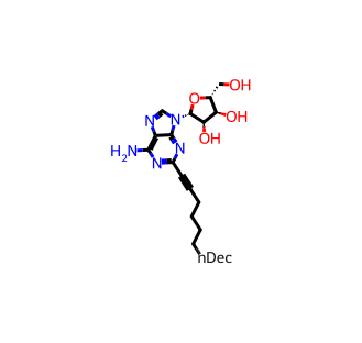 CCCCCCCCCCCCCCC#Cc1nc(N)c2ncn([C@@H]3O[C@H](CO)[C@@H](O)[C@H]3O)c2n1